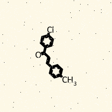 Cc1ccc(C=CC(=O)c2ccc(Cl)cc2)cc1